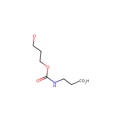 [O]CCCOC(=O)NCCC(=O)O